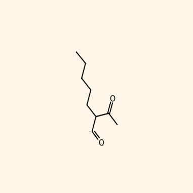 CCCCCC([C]=O)C(C)=O